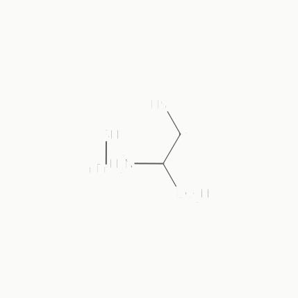 CCCS.NC(CS)C(=O)O